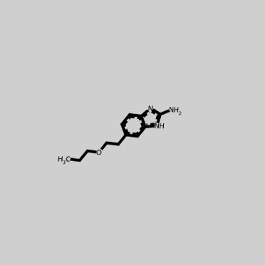 CCCOCCc1ccc2nc(N)[nH]c2c1